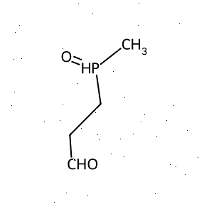 C[PH](=O)CCC=O